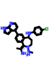 CNN1CCC(Nc2ccc(Cl)cc2)c2cc(-c3ccnc4[nH]ccc34)ccc2/C1=C(\C)N